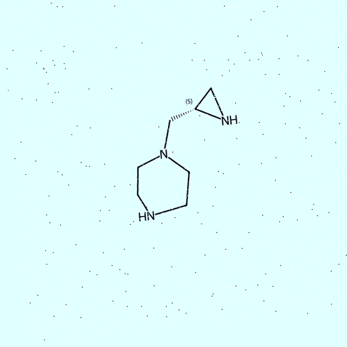 C1CN(C[C@@H]2CN2)CCN1